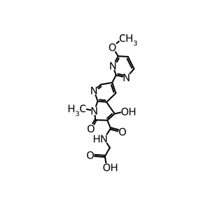 COc1ccnc(-c2cnc3c(c2)c(O)c(C(=O)NCC(=O)O)c(=O)n3C)n1